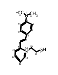 CN(C)c1ccc(/C=C/c2cccc[n+]2CCS)cc1